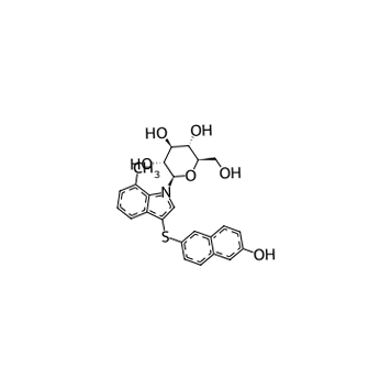 Cc1cccc2c(Sc3ccc4cc(O)ccc4c3)cn([C@@H]3O[C@H](CO)[C@@H](O)[C@H](O)[C@H]3O)c12